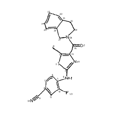 Cc1sc(Nc2ccc(C#N)cc2F)nc1C(=O)N1CCc2ccccc2C1